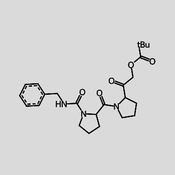 CC(C)(C)C(=O)OCC(=O)C1CCCN1C(=O)C1CCCN1C(=O)NCc1ccccc1